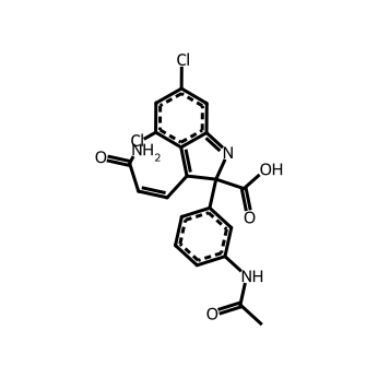 CC(=O)Nc1cccc(C2(C(=O)O)N=c3cc(Cl)cc(Cl)c3=C2/C=C\C(N)=O)c1